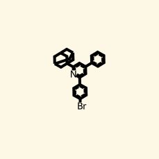 Brc1ccc(-c2cc(-c3ccccc3)cc(C34CC5CC(CC(C5)C3)C4)n2)cc1